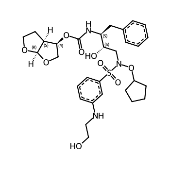 O=C(N[C@@H](Cc1ccccc1)[C@@H](O)CN(OC1CCCC1)S(=O)(=O)c1cccc(NCCO)c1)O[C@H]1CO[C@H]2OCC[C@H]21